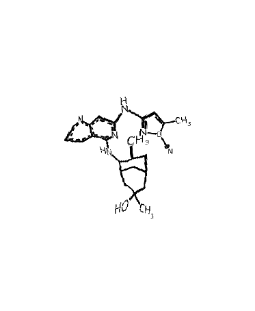 CC1=CC(Nc2cc3ncccc3c(NC3C(C)CC4CC3CC(C)(O)C4)n2)=NB1C#N